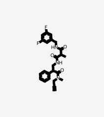 C#CCN(C)C(=O)C(CNC(=O)C(C)C(=O)NCc1cc(F)cc(F)c1)c1ccccc1